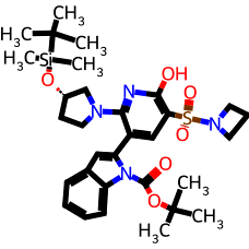 CC(C)(C)OC(=O)n1c(-c2cc(S(=O)(=O)N3CCC3)c(O)nc2N2CC[C@H](O[Si](C)(C)C(C)(C)C)C2)cc2ccccc21